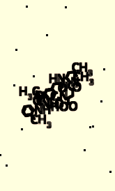 COc1cc(CC(=O)NC(CC(C)C)C2=NOC(CC(NC(C)=O)C(=O)O)C2)ccc1NC(=O)Nc1ccccc1C